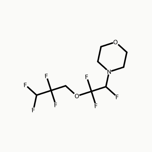 FC(F)C(F)(F)COC(F)(F)C(F)N1CCOCC1